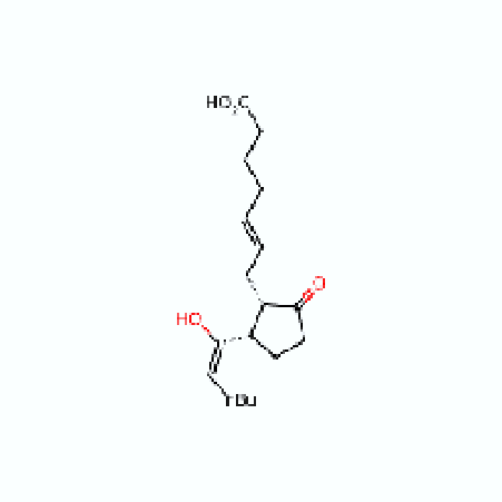 CCCC/C=C(/O)[C@H]1CCC(=O)[C@H]1CC=CCCCC(=O)O